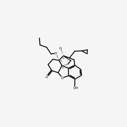 CCCCO[C@@]12CCC(=O)C3Oc4c(O)ccc5c4[C@@]31CCN(CC1CC1)[C@@H]2C5